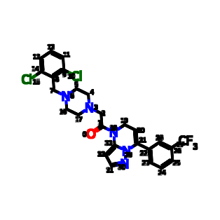 O=C(CN1CCN(Cc2c(Cl)cccc2Cl)CC1)N1CC=C(c2cccc(C(F)(F)F)c2)n2nccc21